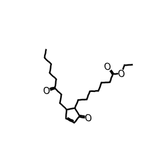 CCCCCC(=O)CCC1C=CC(=O)C1CCCCCCC(=O)OCC